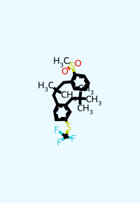 CC(C)(C)Cc1cc(SC(F)(F)F)ccc1CC(C)(C)Cc1ccccc1S(C)(=O)=O